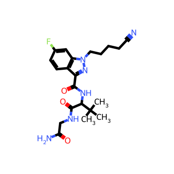 CC(C)(C)C(NC(=O)c1nn(CCCCC#N)c2cc(F)ccc12)C(=O)NCC(N)=O